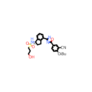 CC(C)COc1ccc(-c2nc(-c3cccc4c3CC[C@H]4NS(=O)(=O)CCCO)no2)cc1C#N